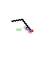 CCCCCCCC/C=C\CCCCCCC(CCC[Si](OC)(OC)OC)C(N)=O.Cl